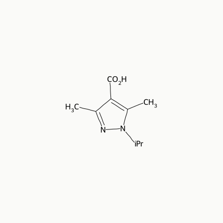 Cc1nn(C(C)C)c(C)c1C(=O)O